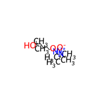 CN(/[N+]([O-])=N/OCCCCC(C)(C)O)C(C)(C)C